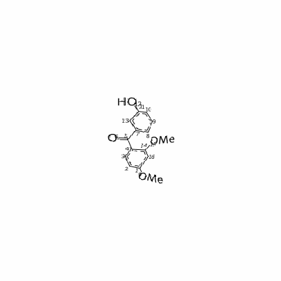 COc1ccc(C(=O)c2cccc(O)c2)c(OC)c1